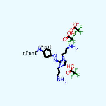 CCCCCN(CCCCC)c1ccc(/N=N/c2n(CCCN)cc[n+]2CCCN)cc1.O=C(O)C(F)(F)F.O=C(O)C(F)(F)F.O=C([O-])C(F)(F)F